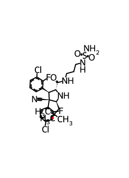 CC(C)(C)C[C@@H]1N[C@@H](C(=O)NCCCNS(N)(=O)=O)[C@H](c2cccc(Cl)c2F)[C@@]1(C#N)c1ccc(Cl)cc1F